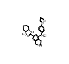 Cl.O=C(N[C@H]1CCCC[C@@H]1O)c1cc(Cc2ccc(-n3cccn3)cc2)c2c(n1)CNCC2